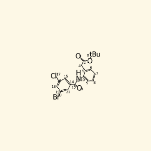 CC(C)(C)OC(=O)Cc1ccccc1NC(=O)c1cc(Cl)cc(Br)c1